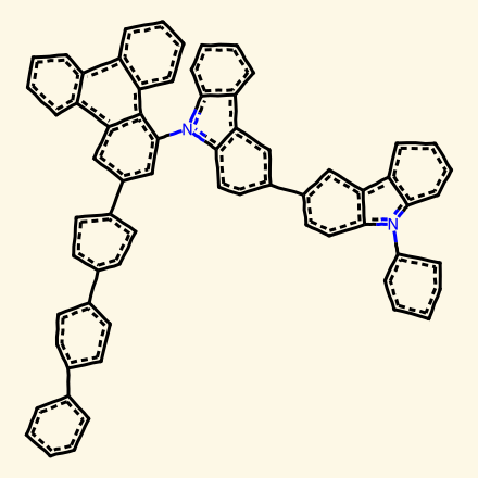 c1ccc(-c2ccc(-c3ccc(-c4cc(-n5c6ccccc6c6cc(-c7ccc8c(c7)c7ccccc7n8-c7ccccc7)ccc65)c5c6ccccc6c6ccccc6c5c4)cc3)cc2)cc1